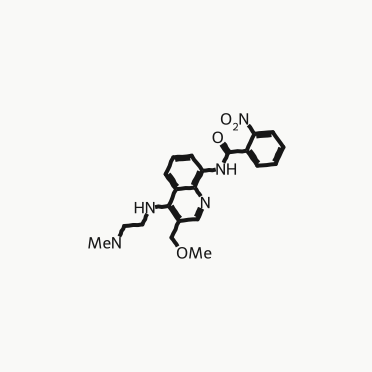 CNCCNc1c(COC)cnc2c(NC(=O)c3ccccc3[N+](=O)[O-])cccc12